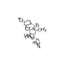 CC1Cc2c(-c3ccn[nH]3)n[nH]c2CN1C(=O)c1ccc(Cl)cc1Cl